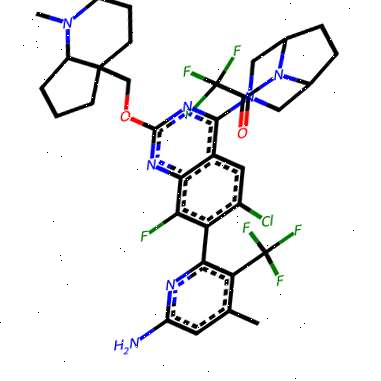 Cc1cc(N)nc(-c2c(Cl)cc3c(N4CC5CCC(C4)N5C(=O)C(F)(F)F)nc(OCC45CCCC4N(C)CCC5)nc3c2F)c1C(F)(F)F